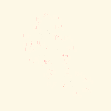 Bc1c(B)c(-c2c3c(B)c(B)c(B)c(B)c3c(-c3c(B)c4c(B)c(B)c(B)c(B)c4c4c(B)c(B)c(B)c(B)c34)c3c(B)c(B)c(B)c(B)c23)c(B)c(B)c1-c1c(B)c(B)c2oc3c(B)c(B)c(B)c(B)c3c2c1B